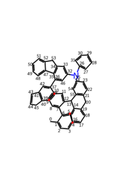 Cc1ccccc1-c1ccccc1C1c2ccccc2Cc2ccc(N(c3ccccc3)c3cc4c(c(-c5ccc6c(c5)C=CC6)c3)-c3ccccc3C4)cc21